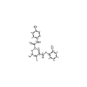 CCc1ccc(NC(=O)OC[C@H](C)N(C)C(=O)NCc2ccccc2Cl)cc1